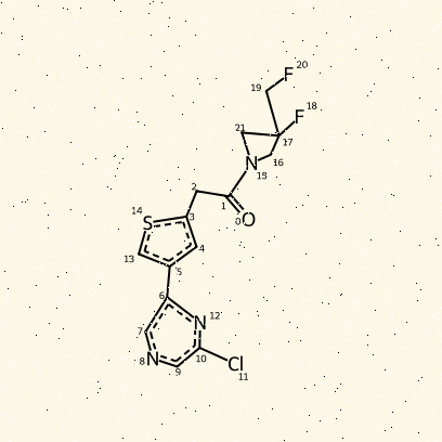 O=C(Cc1cc(-c2cncc(Cl)n2)cs1)N1CC(F)(CF)C1